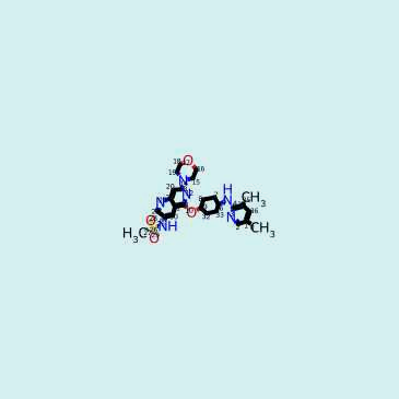 Cc1cnc(NC2CCC(Oc3nc(N4CCOCC4)cc4ncc(NS(C)(=O)=O)cc34)CC2)c(C)c1